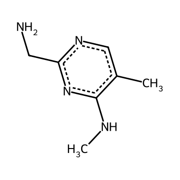 CNc1nc(CN)ncc1C